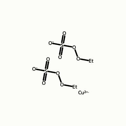 CCOOS(=O)(=O)[O-].CCOOS(=O)(=O)[O-].[Cu+2]